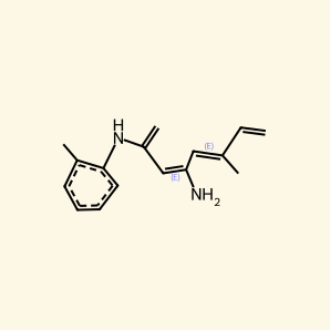 C=C/C(C)=C/C(N)=C\C(=C)Nc1ccccc1C